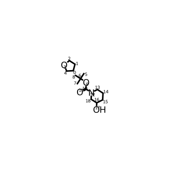 C1CCOC1.CC(C)(C)OC(=O)N1CCCC(O)C1